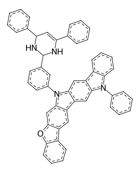 C1=C(c2ccccc2)NC(c2cccc(-n3c4cc5oc6ccccc6c5cc4c4cc5c(cc43)c3ccccc3n5-c3ccccc3)c2)NC1c1ccccc1